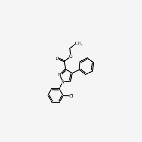 CCOC(=O)c1nn(-c2ccccc2Cl)cc1-c1ccccc1